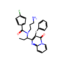 CCC(c1nc2ccccn2c(=O)c1Cc1ccccc1)N(CCCN)C(=O)c1ccc(F)cc1